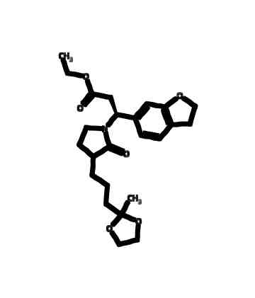 CCOC(=O)C[C@@H](c1ccc2c(c1)OCC2)N1CCC(CCCC2(C)OCCO2)C1=O